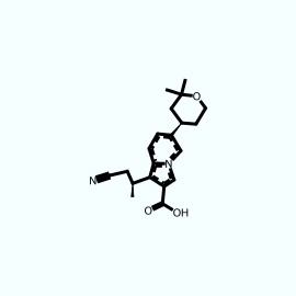 C[C@@H](CC#N)c1c(C(=O)O)cn2cc([C@@H]3CCOC(C)(C)C3)ccc12